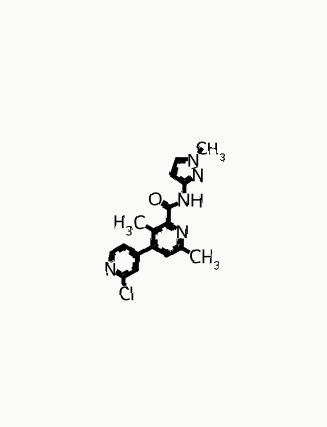 Cc1cc(-c2ccnc(Cl)c2)c(C)c(C(=O)Nc2ccn(C)n2)n1